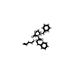 C=CCCC[C@@H](Cc1ccccc1)C(=O)N1C(=O)OC[C@H]1Cc1ccccc1